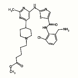 COC(=O)CCCCN1CCC(c2cc(Nc3ncc(C(=O)Nc4c(Cl)cccc4CN)s3)nc(C)n2)CC1